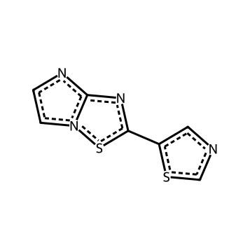 c1cn2sc(-c3cncs3)nc2n1